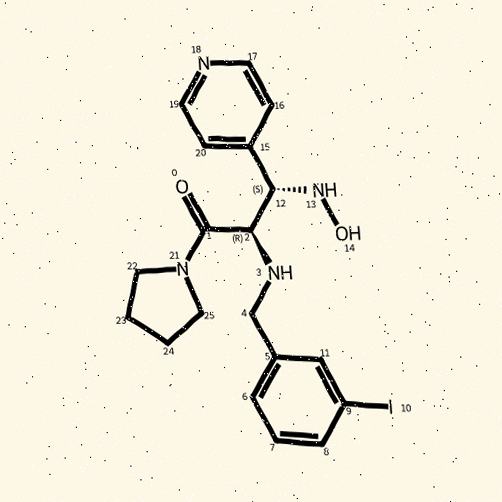 O=C([C@H](NCc1cccc(I)c1)[C@@H](NO)c1ccncc1)N1CCCC1